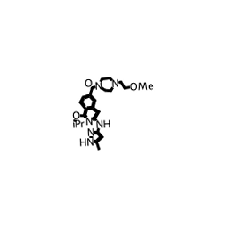 COCCN1CCN(C(=O)c2ccc3c(OC(C)C)nc(Nc4cc(C)[nH]n4)cc3c2)CC1